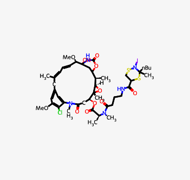 CCCCC1(C)SC(C(=O)NCCCC(=O)N(C)[C@@H](C)C(=O)O[C@H]2CC(=O)N(C)c3cc(cc(OC)c3Cl)C/C(C)=C/C=C/[C@@H](OC)[C@@]3(O)CC(OC(=O)N3)[C@@H](C)[C@H]3OC23C)CSN1I